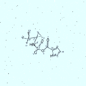 O=C(OS(=O)(=O)NC1(C(F)(F)F)CC1)c1ccc[nH]1